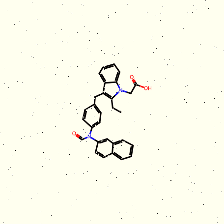 CCc1c(Cc2ccc(N(C=O)c3ccc4ccccc4c3)cc2)c2ccccc2n1CC(=O)O